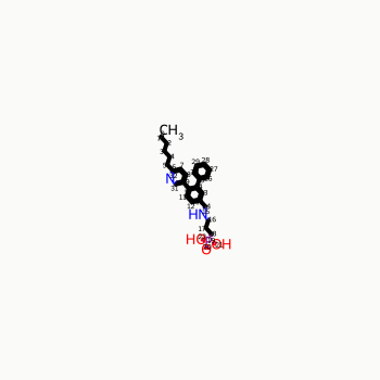 CCCCCCc1ccc(-c2ccc(CNCCCP(=O)(O)O)cc2-c2ccccc2)cn1